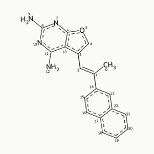 C/C(=C\c1coc2nc(N)nc(N)c12)c1ccc2ccccc2c1